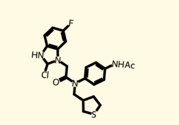 CC(=O)Nc1ccc(N(CC2CCSC2)C(=O)CN2c3cc(F)ccc3NC2Cl)cc1